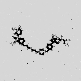 C[C@H](CC(F)(F)F)Nc1ncc2c(-c3ccc(CN4CCN(CCCOCCCc5ccc6c(c5)n(C)c(=O)n6C5CCC(=O)N(C)C5=O)CC4)cc3)cn(C)c2n1